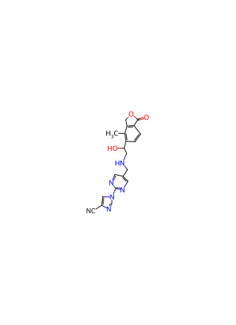 Cc1c(C(O)CNCc2cnc(-n3cnc(C#N)c3)nc2)ccc2c1COC2=O